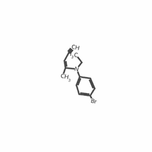 C#C/C=C(/C)N(CC)c1ccc(Br)cc1